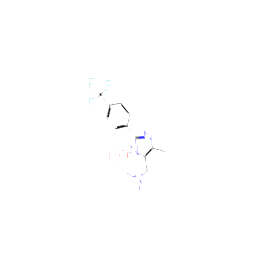 Cc1nc(-c2ccc(C(F)(F)F)cc2)n(O)c1CN(C)C